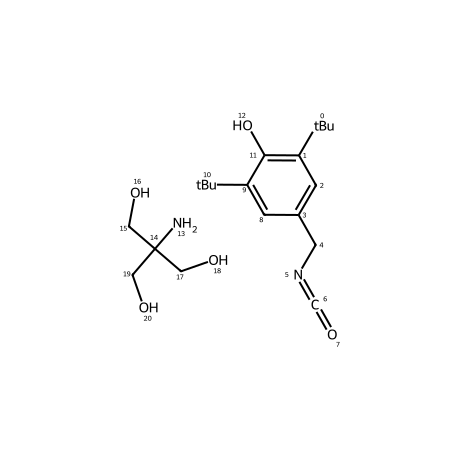 CC(C)(C)c1cc(CN=C=O)cc(C(C)(C)C)c1O.NC(CO)(CO)CO